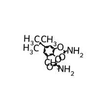 Cc1cc(C(C)(C)C)cc(OC(N)=O)c1OC(N)=O